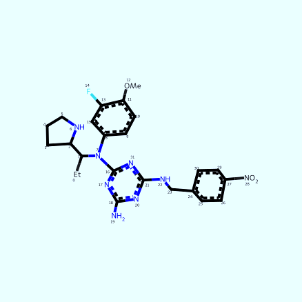 CCC(C1CCCN1)N(c1ccc(OC)c(F)c1)c1nc(N)nc(NCc2ccc([N+](=O)[O-])cc2)n1